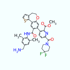 COC(=O)c1nc(C(=O)N2CCC(F)(F)CC2)ccc1-c1cc2c(cc1C(=O)Nc1c(C)cc(CN)cc1C)-c1sccc1CCO2